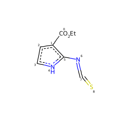 CCOC(=O)c1cc[nH]c1N=C=S